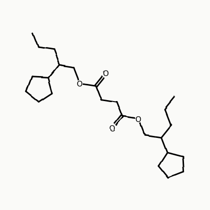 CCCC(COC(=O)CCC(=O)OCC(CCC)C1CCCC1)C1CCCC1